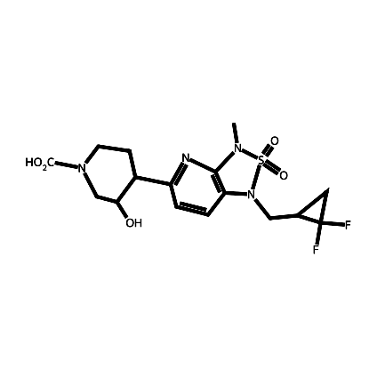 CN1c2nc(C3CCN(C(=O)O)CC3O)ccc2N(CC2CC2(F)F)S1(=O)=O